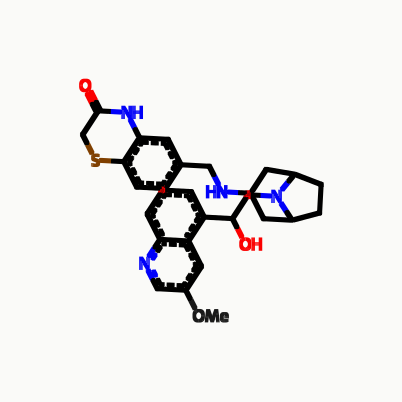 COc1cnc2cccc(C(O)CN3C4CCC3CC(NCc3ccc5c(c3)NC(=O)CS5)C4)c2c1